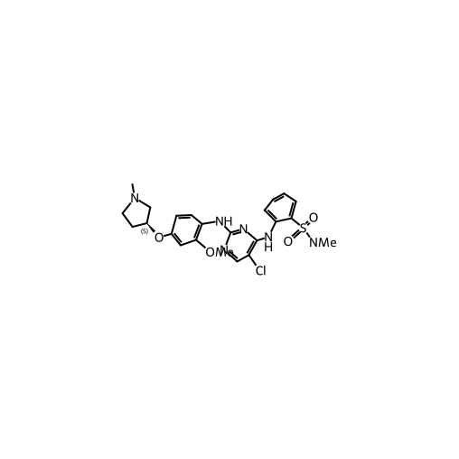 CNS(=O)(=O)c1ccccc1Nc1nc(Nc2ccc(O[C@H]3CCN(C)C3)cc2OC)ncc1Cl